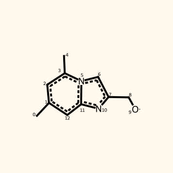 Cc1cc(C)n2cc(C[O])nc2c1